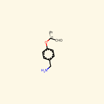 CC(C)[C@H](C=O)Oc1ccc(CN)cc1